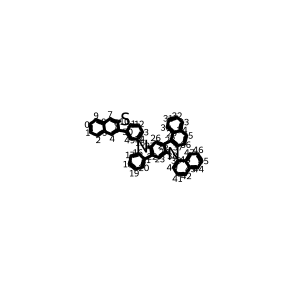 c1ccc2cc3c(cc2c1)sc1ccc(-n2c4ccccc4c4cc5c(cc42)c2c4ccccc4ccc2n5-c2cccc4ccccc24)cc13